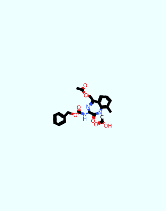 CC(=O)OCC1=N[C@H](NC(=O)OCc2ccccc2)C(=O)N(CC(=O)O)c2c(C)cccc21